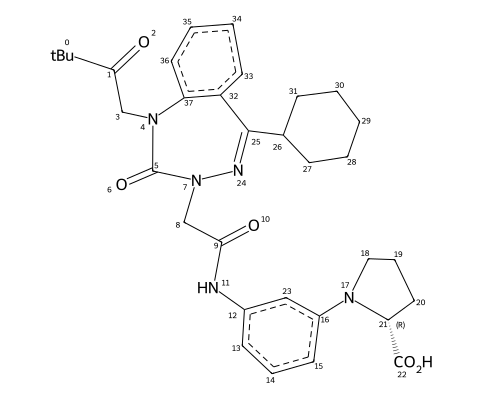 CC(C)(C)C(=O)CN1C(=O)N(CC(=O)Nc2cccc(N3CCC[C@@H]3C(=O)O)c2)N=C(C2CCCCC2)c2ccccc21